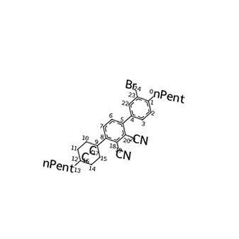 CCCCCc1ccc(-c2ccc(C34CCC(CCCCC)(CC3)CC4)c(C#N)c2C#N)cc1Br